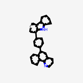 c1cnc2c(c1)cc(-c1ccc(-c3cccc4c3[nH]c3ccccc34)cc1)c1ccccc12